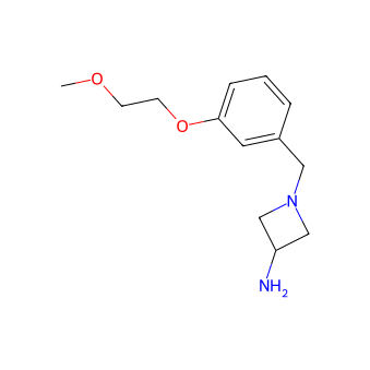 COCCOc1cccc(CN2CC(N)C2)c1